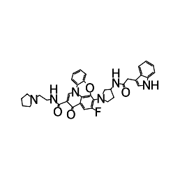 O=C(Cc1c[nH]c2ccccc12)NC1CCN(c2c(F)cc3c(=O)c(C(=O)NCCN4CCCC4)cn4c3c2Oc2ccccc2-4)C1